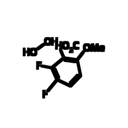 COc1ccc(F)c(F)c1C(=O)O.OO